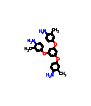 Cc1cc(Oc2cc(Oc3ccc(N)c(C)c3)cc(Oc3ccc(N)c(C)c3)c2)ccc1N